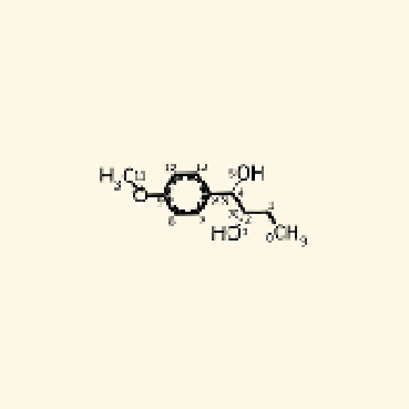 CC[C@H](O)[C@@H](O)c1ccc(OC)cc1